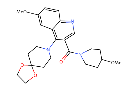 COc1ccc2ncc(C(=O)N3CCC(OC)CC3)c(N3CCC4(CC3)OCCO4)c2c1